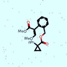 CCCC1(C(=O)OCc2ccccc2C(=COC)C(=O)OC)CC1